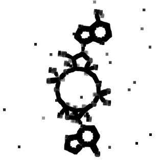 Nc1ccnc2c1ncn2[C@@H]1O[C@@H]2CO[P@@](=O)(S)O[C@@H]3[C@H](O)[C@@H](CO[P@](=O)(S)O[C@H]2[C@H]1O)O[C@H]3n1ccc(=O)n2ccnc12